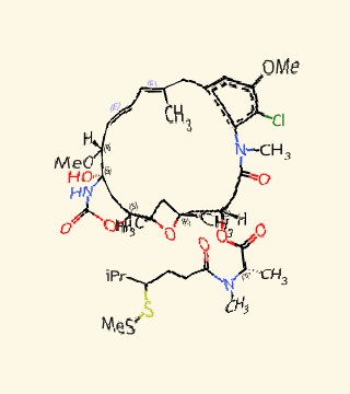 COc1cc2cc(c1Cl)N(C)C(=O)C[C@H](OC(=O)[C@H](C)N(C)C(=O)CCC(SSC)C(C)C)[C@@]1(C)CC(C)(O1)[C@@H]1C[C@@](O)(NC(=O)O1)[C@H](OC)/C=C/C=C(\C)C2